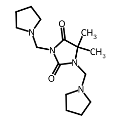 CC1(C)C(=O)N(CN2CCCC2)C(=O)N1CN1CCCC1